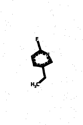 CCc1ccc(F)nc1